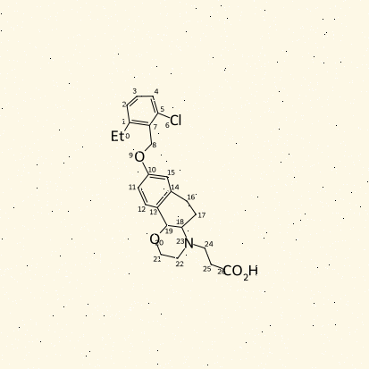 CCc1cccc(Cl)c1COc1ccc2c(c1)CCC1C2OCCN1CCC(=O)O